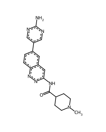 CN1CCC(C(=O)Nc2cc3cc(-c4cnc(N)nc4)ccc3nn2)CC1